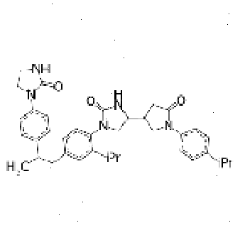 CC(C)c1ccc(N2CC(C3CN(c4ccc(CC(C)c5ccc(N6CCNC6=O)cc5)cc4C(C)C)C(=O)N3)CC2=O)cc1